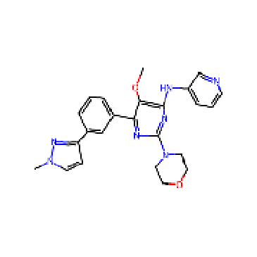 COc1c(Nc2cccnc2)nc(N2CCOCC2)nc1-c1cccc(-c2ccn(C)n2)c1